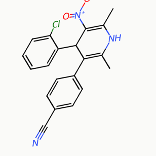 CC1=C(c2ccc(C#N)cc2)C(c2ccccc2Cl)C([N+](=O)[O-])=C(C)N1